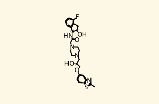 Cc1nc2cc(OC[C@H](O)CN3CCN(CC(=O)N[C@H]4c5cccc(F)c5C[C@H]4O)CC3)ccc2s1